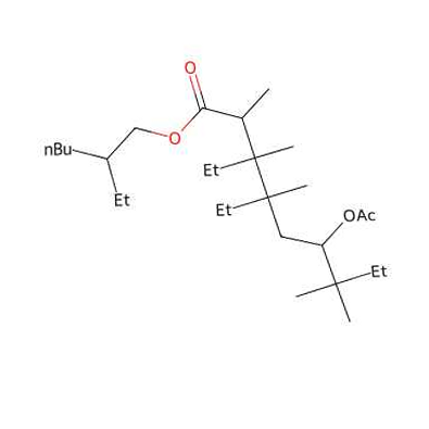 CCCCC(CC)COC(=O)C(C)C(C)(CC)C(C)(CC)CC(OC(C)=O)C(C)(C)CC